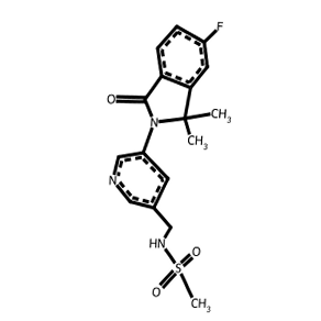 CC1(C)c2cc(F)ccc2C(=O)N1c1cncc(CNS(C)(=O)=O)c1